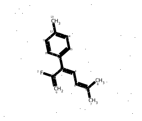 C=C(F)/C(=C\C=C(C)C)c1ccc(C)cc1